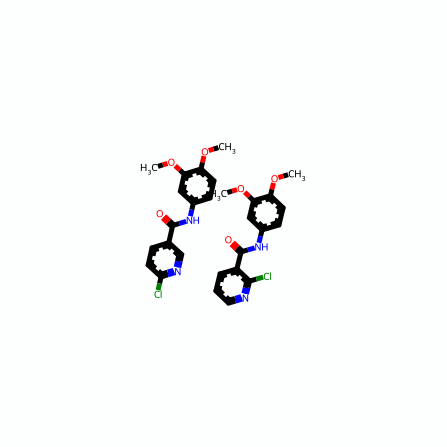 COc1ccc(NC(=O)c2ccc(Cl)nc2)cc1OC.COc1ccc(NC(=O)c2cccnc2Cl)cc1OC